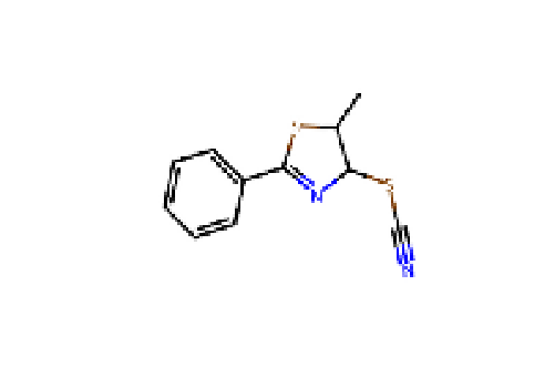 CC1SC(c2ccccc2)=NC1SC#N